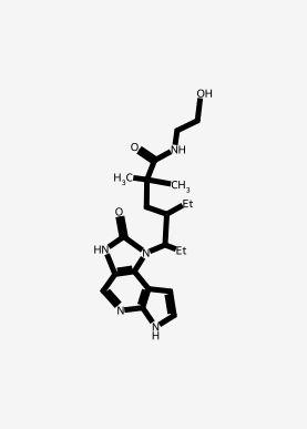 CCC(CC(C)(C)C(=O)NCCO)C(CC)n1c(=O)[nH]c2cnc3[nH]ccc3c21